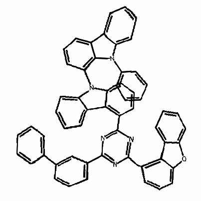 c1ccc(-c2cccc(-c3nc(-c4cccc5oc6ccccc6c45)nc(-c4cccc5c4c4ccccc4n5-c4cccc5c6ccccc6n(-c6ccccc6)c45)n3)c2)cc1